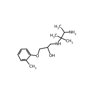 Cc1ccccc1OCC(O)CNC(C)(C)C(C)N